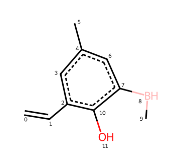 C=Cc1cc(C)cc(BC)c1O